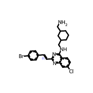 NCC1CCCC(CNc2nc(/C=C/c3ccc(Br)cc3)nc3cc(Cl)ccc23)C1